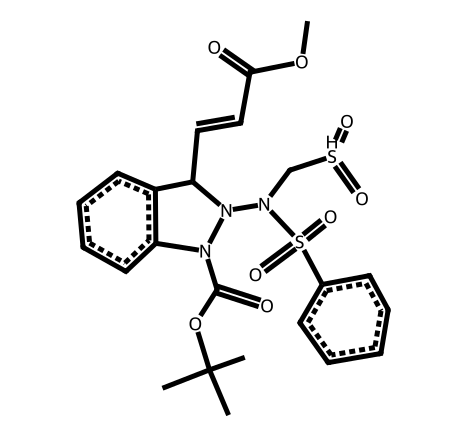 COC(=O)C=CC1c2ccccc2N(C(=O)OC(C)(C)C)N1N(C[SH](=O)=O)S(=O)(=O)c1ccccc1